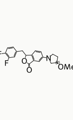 CO[C@@H]1CCN(c2ccc3c(c2)C(=O)OC3Cc2ccc(F)c(F)c2)C1